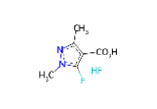 Cc1nn(C)c(F)c1C(=O)O.F